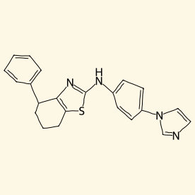 c1ccc(C2CCCc3sc(Nc4ccc(-n5ccnc5)cc4)nc32)cc1